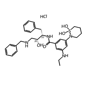 CCNc1cc(C(=O)N[C@@H](Cc2ccccc2)[C@H](O)CNCc2ccccc2)cc(N2CCCCS2(O)O)c1.Cl